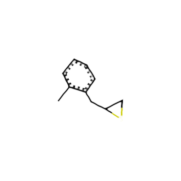 Cc1ccccc1CC1CS1